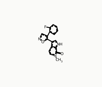 Cn1ccc2c(-c3oncc3-c3ccccc3F)c[nH]c2c1=O